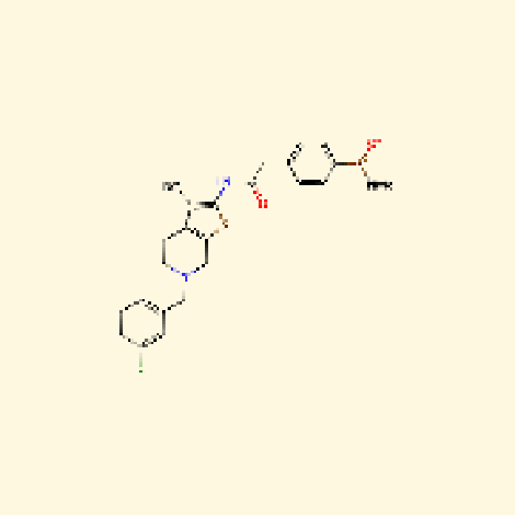 CN[S+]([O-])c1ccc(CC(=O)Nc2sc3c(c2C#N)CCN(Cc2cccc(F)c2)C3)cc1